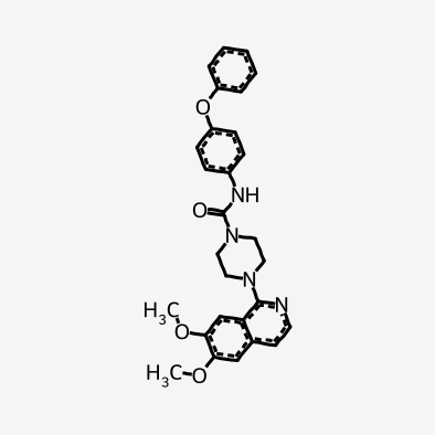 COc1cc2ccnc(N3CCN(C(=O)Nc4ccc(Oc5ccccc5)cc4)CC3)c2cc1OC